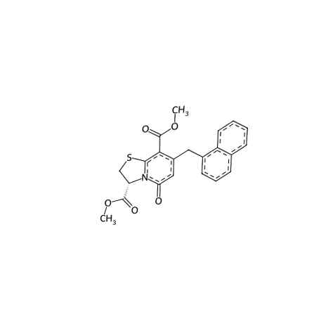 COC(=O)c1c(Cc2cccc3ccccc23)cc(=O)n2c1SC[C@H]2C(=O)OC